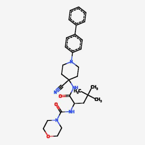 CC(C)(C)CC(NC(=O)N1CCOCC1)C(=O)NC1(C#N)CCN(c2ccc(-c3ccccc3)cc2)CC1